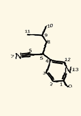 Cc1ccc(C(C#N)CC(C)C)cn1